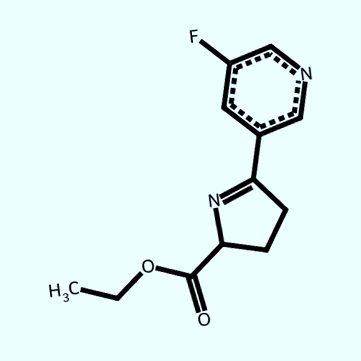 CCOC(=O)C1CCC(c2cncc(F)c2)=N1